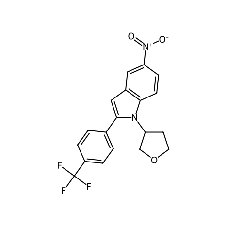 O=[N+]([O-])c1ccc2c(c1)cc(-c1ccc(C(F)(F)F)cc1)n2C1CCOC1